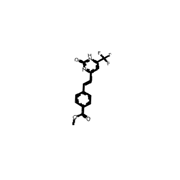 COC(=O)c1ccc(/C=C/c2cc(C(F)(F)F)[nH]c(=O)n2)cc1